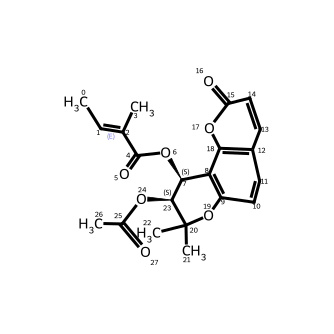 C/C=C(\C)C(=O)O[C@H]1c2c(ccc3ccc(=O)oc23)OC(C)(C)[C@H]1OC(C)=O